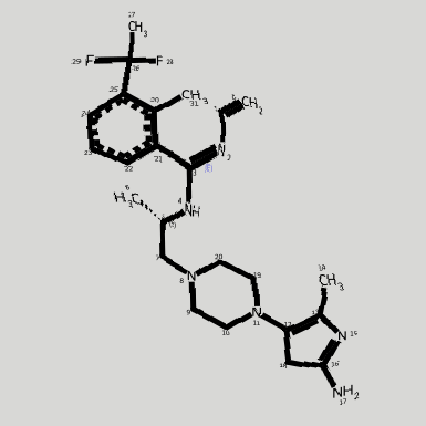 C=C/N=C(/N[C@@H](C)CN1CCN(C2=C(C)N=C(N)C2)CC1)c1cccc(C(C)(F)F)c1C